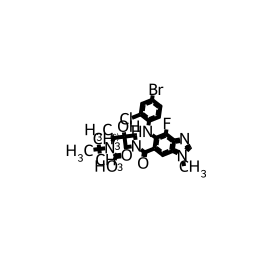 C[C@H](N(C(=O)O)C(C)(C)C)C1(O)CN(C(=O)c2cc3c(ncn3C)c(F)c2Nc2ccc(Br)cc2Cl)C1